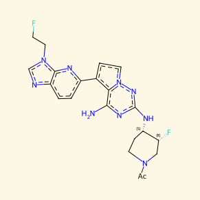 CC(=O)N1CC[C@H](Nc2nc(N)c3c(-c4ccc5ncn(CCF)c5n4)ccn3n2)[C@H](F)C1